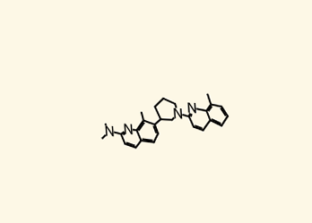 Cc1cccc2ccc(N3CCCC(c4ccc5ccc(N(C)C)nc5c4C)C3)nc12